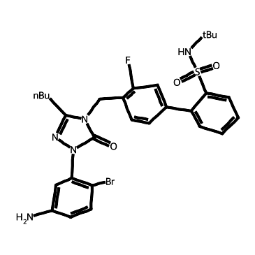 CCCCc1nn(-c2cc(N)ccc2Br)c(=O)n1Cc1ccc(-c2ccccc2S(=O)(=O)NC(C)(C)C)cc1F